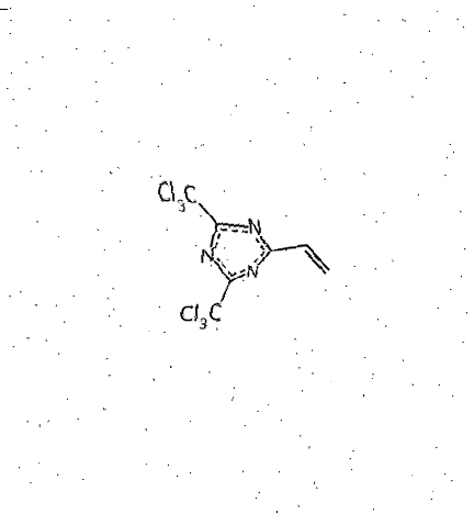 C=Cc1nc(C(Cl)(Cl)Cl)nc(C(Cl)(Cl)Cl)n1